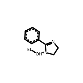 CCO.c1ccc(C2=NCCN2)cc1